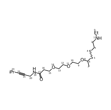 CCNCCSSC(C)OCCOCCOCCC(=O)NCC#CC(C)C